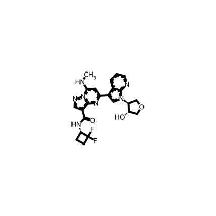 CNc1cc(-c2cn([C@H]3COC[C@@H]3O)c3ncccc23)nc2c(C(=O)N[C@H]3CCC3(F)F)cnn12